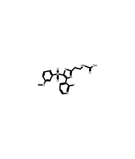 COc1cccc(S(=O)(=O)c2sc(CCNC(=O)O)nc2-c2cccnc2F)c1